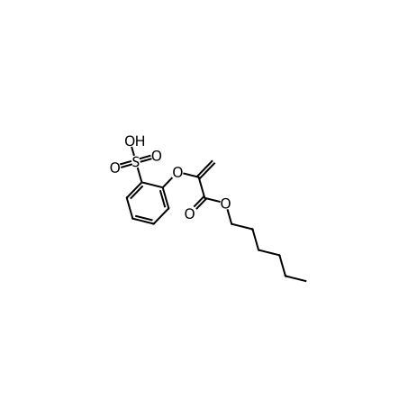 C=C(Oc1ccccc1S(=O)(=O)O)C(=O)OCCCCCC